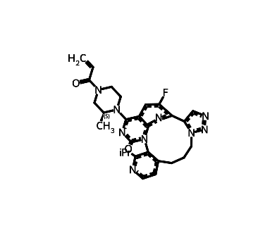 C=CC(=O)N1CCN(c2nc(=O)n3c4nc(c(F)cc24)-c2cnnn2CCCc2ccnc(C(C)C)c2-3)[C@@H](C)C1